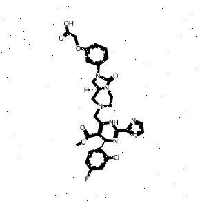 COC(=O)C1=C(CN2CCN3C(=O)N(c4cccc(OCC(=O)O)c4)C[C@@H]3C2)NC(c2nccs2)=N[C@H]1c1ccc(F)cc1Cl